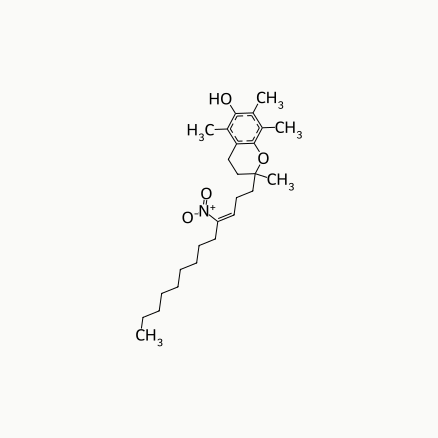 CCCCCCCCCC(=CCCC1(C)CCc2c(C)c(O)c(C)c(C)c2O1)[N+](=O)[O-]